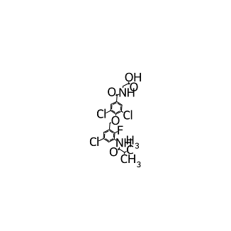 CC(C)C(=O)Nc1cc(Cl)cc(COc2c(Cl)cc(C(=O)NCC(=O)O)cc2Cl)c1F